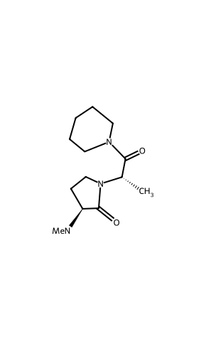 CN[C@H]1CCN([C@@H](C)C(=O)N2CCCCC2)C1=O